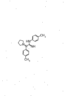 Cc1ccc(NC(=N)N(c2ccc(C)cc2)N2CCCC2)cc1